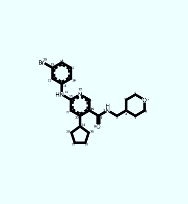 O=C(NCC1CCOCC1)c1cnc(Nc2cccc(Br)c2)cc1C1CCCC1